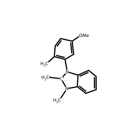 [CH2-][c+]1n(C)c2ccccc2n1-c1cc(OC)ccc1C